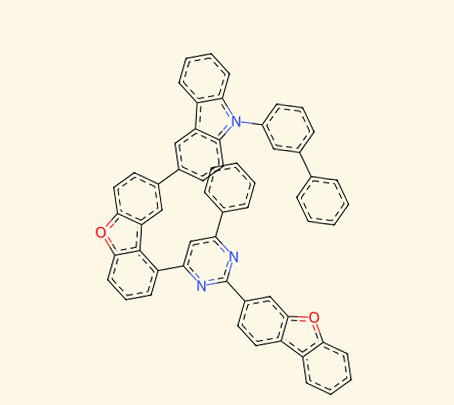 c1ccc(-c2cccc(-n3c4ccccc4c4cc(-c5ccc6oc7cccc(-c8cc(-c9ccccc9)nc(-c9ccc%10c(c9)oc9ccccc9%10)n8)c7c6c5)ccc43)c2)cc1